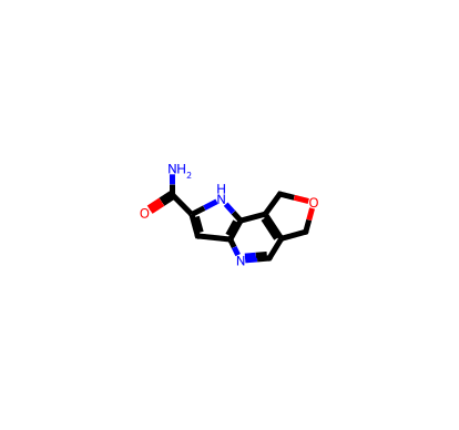 NC(=O)c1cc2ncc3c(c2[nH]1)COC3